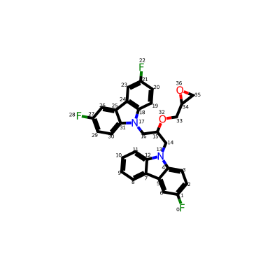 Fc1ccc2c(c1)c1ccccc1n2CC(Cn1c2ccc(F)cc2c2cc(F)ccc21)OCC1CO1